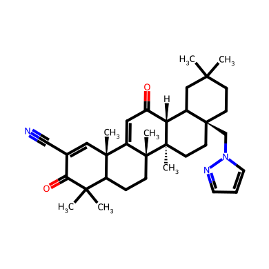 CC1(C)CC[C@]2(Cn3cccn3)CC[C@]3(C)[C@H](C(=O)C=C4[C@@]5(C)C=C(C#N)C(=O)C(C)(C)C5CC[C@]43C)C2C1